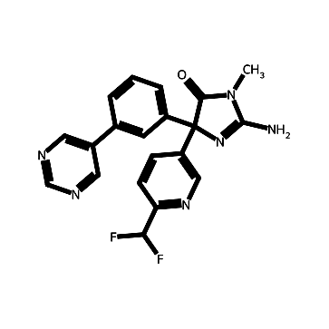 CN1C(=O)C(c2ccc(C(F)F)nc2)(c2cccc(-c3cncnc3)c2)N=C1N